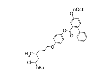 CCCCCCCCOc1ccc(-c2ccccc2)c(C(=O)Oc2ccc(OCCCC(C)C[C@H](Cl)CCCC)cc2)c1